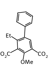 CCc1c(-c2ccccc2)cc(C(=O)O)c(OC)c1C(=O)O